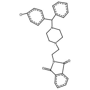 O=C1c2ccccc2C(=O)N1CCN1CCN(C(c2ccccc2)c2ccc(Cl)cc2)CC1